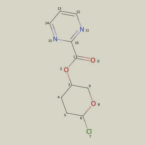 O=C(OC1CCC(Cl)OC1)c1ncccn1